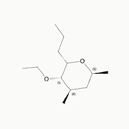 CCCC1O[C@@H](C)C[C@@H](C)[C@@H]1OCC